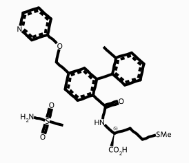 CS(N)(=O)=O.CSCC[C@H](NC(=O)c1ccc(COc2cccnc2)cc1-c1ccccc1C)C(=O)O